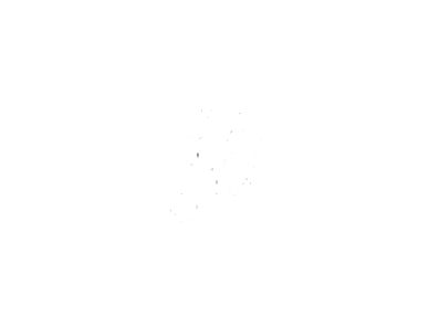 c1cc2ccc3ccc(-c4cc[nH]c4)c4ccc(c1)c2c34